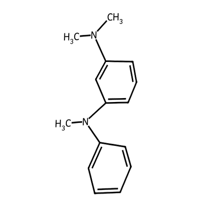 CN(C)c1cccc(N(C)c2ccccc2)c1